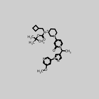 COc1cncc(-n2cc(C(C)n3ccc(N4CCC[C@@H](N(CC5CCC5)C(=O)OC(C)(C)C)C4)cc3=O)cn2)c1